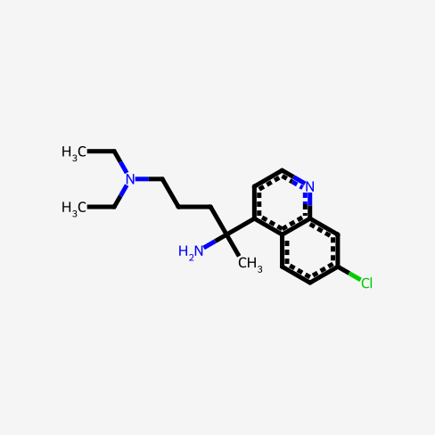 CCN(CC)CCCC(C)(N)c1ccnc2cc(Cl)ccc12